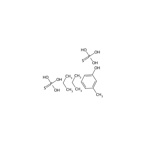 CCC.CCC.Cc1cccc(O)c1.OP(O)(O)=S.OP(O)(O)=S